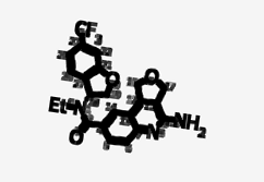 CCN(C(=O)c1ccc2nc(N)c3c(c2c1)COC3)[C@H]1COc2cc(C(F)(F)F)ccc21